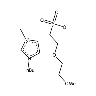 CCCCn1cc[n+](C)c1.COCCOCCS(=O)(=O)[O-]